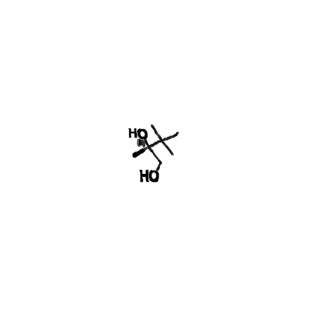 CC(C)(C)[C@@](C)(O)CO